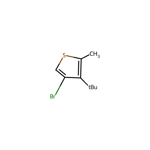 Cc1scc(Br)c1C(C)(C)C